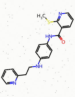 CSc1ncccc1C(=O)Nc1ccc(NCCc2ccccn2)cc1